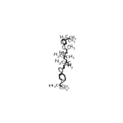 C[C@H](CNC(C)(C)CCC(C)(C)NCCOC1CCN(CCC(C)(C)C)CC1)Oc1cc(C(C)(C)C)ccn1